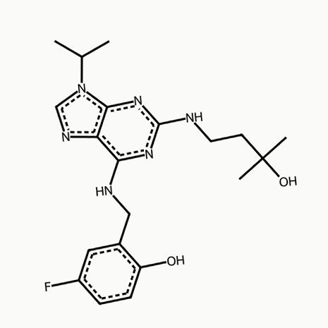 CC(C)n1cnc2c(NCc3cc(F)ccc3O)nc(NCCC(C)(C)O)nc21